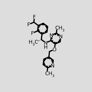 Cc1ccc(COc2cnc(C)nc2N[C@H](C)c2cccc(C(F)F)c2F)cn1